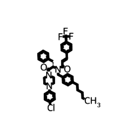 CCCCCc1ccc(CN(C(=O)/C=C/c2ccc(C(F)(F)F)cc2)[C@@H](Cc2ccccc2)C(=O)N2CCN(c3ccc(Cl)cc3)CC2)cc1